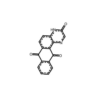 O=C1c2ccccc2C(=O)c2c1ccc1[nH]c(=O)cnc21